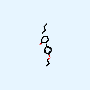 CCCC[C@@H]1CC[C@@H](c2ccc(OCCC)cc2)C(=O)C1